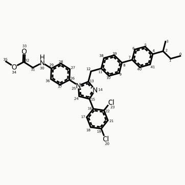 CCC(C)c1ccc(-c2ccc(Cc3nc(-c4ccc(Cl)cc4Cl)cn3-c3ccc(NCC(=O)OC)cc3)cc2)cc1